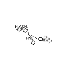 C[Si](C)(C)c1ccc(C=CC2=CC(C=Cc3ccc([Si](C)(C)C)cc3)N(c3ccccc3)N2)cc1